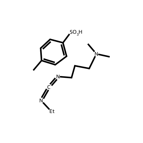 CCN=C=NCCCN(C)C.Cc1ccc(S(=O)(=O)O)cc1